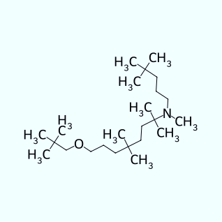 CN(CCCC(C)(C)C)C(C)(C)CCC(C)(C)CCCOCC(C)(C)C